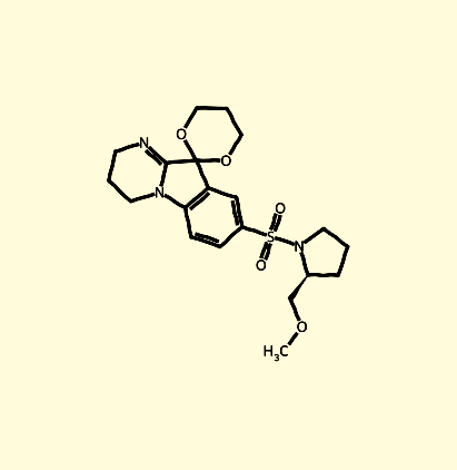 COC[C@@H]1CCCN1S(=O)(=O)c1ccc2c(c1)C1(OCCCO1)C1=NCCCN12